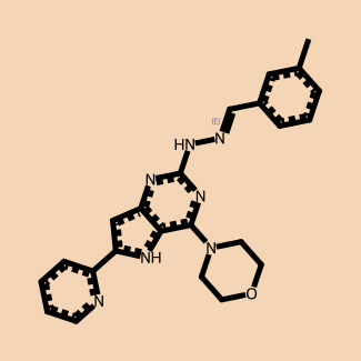 Cc1cccc(/C=N/Nc2nc(N3CCOCC3)c3[nH]c(-c4ccccn4)cc3n2)c1